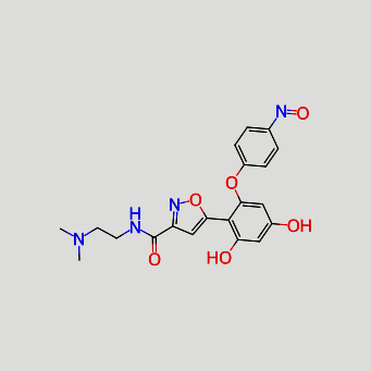 CN(C)CCNC(=O)c1cc(-c2c(O)cc(O)cc2Oc2ccc(N=O)cc2)on1